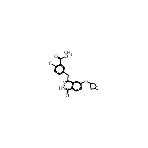 COC(=O)c1cc(Cc2n[nH]c(=O)c3ccc(OC4COC4)cc23)ccc1F